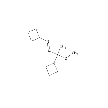 COC(C)(N=NC1CCC1)C1CCC1